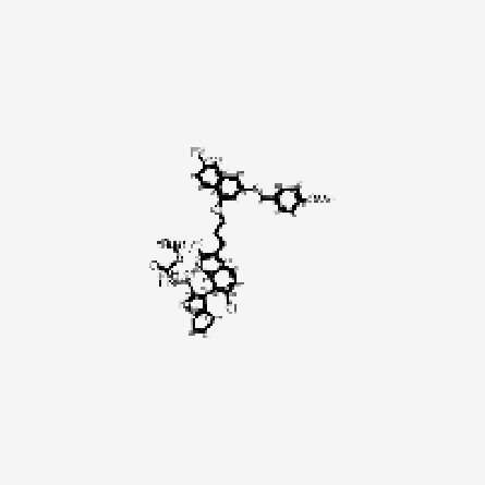 CCOC(=O)c1c(CCCOc2cc(SCc3ccc(OC)cc3)cc3cc(F)ccc23)c2ccc(Cl)c(-c3c(CNC(=O)OC(C)(C)C)nn4c3CCC4)c2n1C